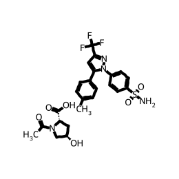 CC(=O)N1C[C@H](O)C[C@H]1C(=O)O.Cc1ccc(-c2cc(C(F)(F)F)nn2-c2ccc(S(N)(=O)=O)cc2)cc1